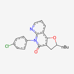 CCCCC1Cc2c(c3cccnc3n(-c3ccc(Cl)cc3)c2=O)O1